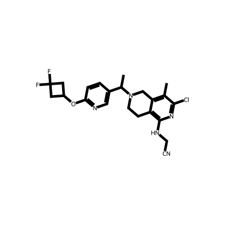 Cc1c(Cl)nc(NCC#N)c2c1CN(C(C)c1ccc(OC3CC(F)(F)C3)nc1)CC2